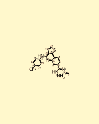 C=N/N=C(\NN)c1ccc2c(c1)nc(Nc1ccc(Cl)cc1)c1ccsc12